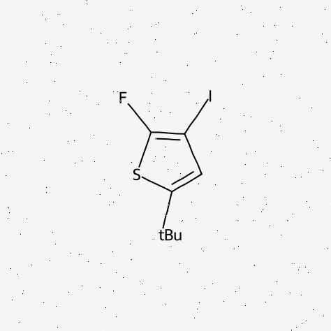 CC(C)(C)c1cc(I)c(F)s1